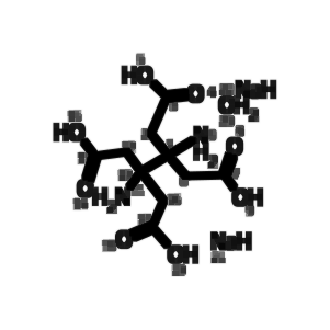 NC(CC(=O)O)(CC(=O)O)C(N)(CC(=O)O)CC(=O)O.O.[NaH].[NaH]